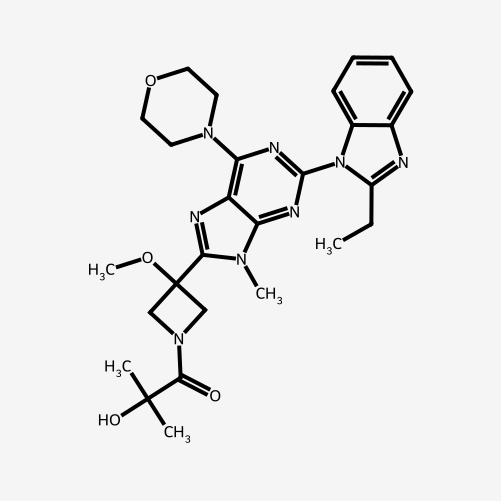 CCc1nc2ccccc2n1-c1nc(N2CCOCC2)c2nc(C3(OC)CN(C(=O)C(C)(C)O)C3)n(C)c2n1